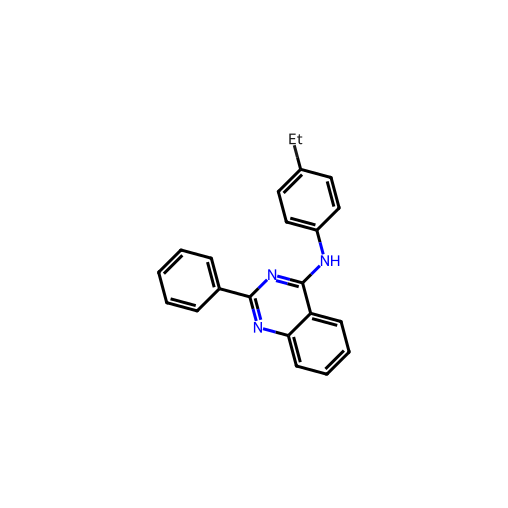 CCc1ccc(Nc2nc(-c3ccccc3)nc3ccccc23)cc1